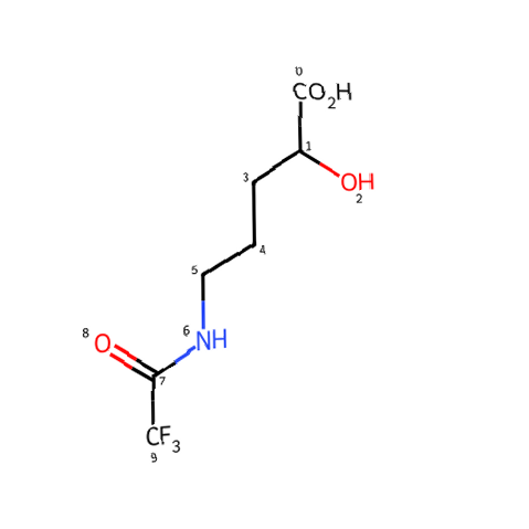 O=C(O)C(O)CCCNC(=O)C(F)(F)F